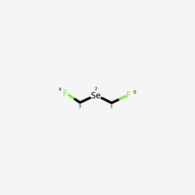 FC[Se]CF